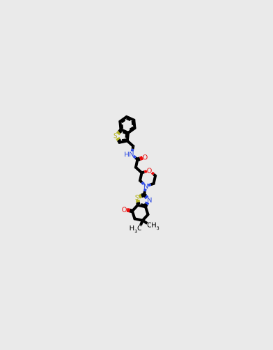 CC1(C)CC(=O)c2sc(N3CCOC(CC(=O)NCc4csc5ccccc45)C3)nc2C1